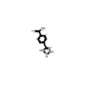 O=C(O)c1ccc(C2=NNNN2)cc1